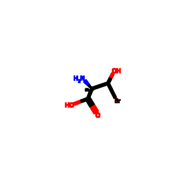 N[C@H](C(=O)O)C(O)Br